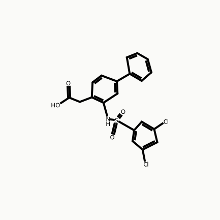 O=C(O)Cc1ccc(-c2ccccc2)cc1NS(=O)(=O)c1cc(Cl)cc(Cl)c1